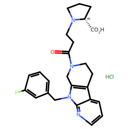 Cl.O=C(O)[C@H]1CCCN1CCC(=O)N1CCc2c(n(Cc3cccc(F)c3)c3ncccc23)C1